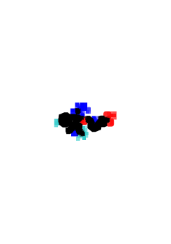 Cc1cc(-c2c(OCc3cccc(C(C)(C)C(=O)O)n3)nc(N)nc2-c2ccc(F)cc2)cc(C(F)(F)F)n1